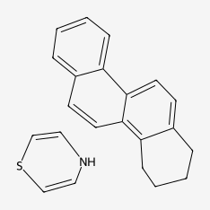 C1=CSC=CN1.c1ccc2c(c1)ccc1c3c(ccc12)CCCC3